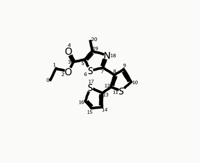 CCOC(=O)c1sc(-c2ccsc2-c2cccs2)nc1C